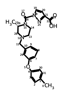 Cc1ccc(Oc2cccc(CN3CCN(C(=O)n4ccc(C(=O)O)n4)[C@@H](C)C3)c2)cc1